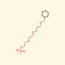 CS(=O)(=O)OCCOCCOCCCOCc1ccccc1